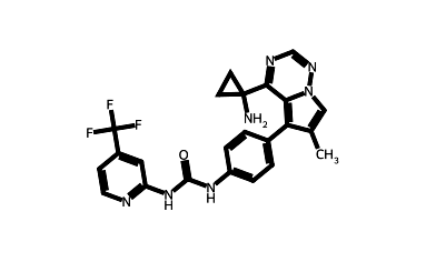 Cc1cn2ncnc(C3(N)CC3)c2c1-c1ccc(NC(=O)Nc2cc(C(F)(F)F)ccn2)cc1